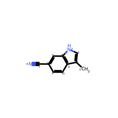 Cc1c[nH]c2cc(C#N)ccc12